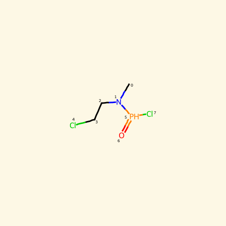 CN(CCCl)[PH](=O)Cl